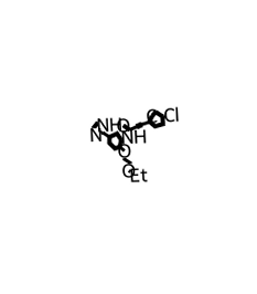 CCOCCOc1ccc(-c2ncc[nH]2)cc1NC(=O)C#Cc1ccc(Cl)cc1